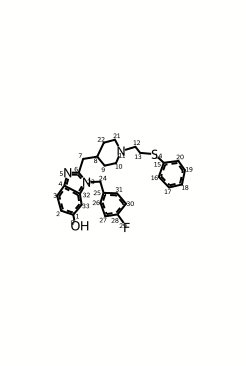 Oc1ccc2nc(CC3CCN(CCSc4ccccc4)CC3)n(Cc3ccc(F)cc3)c2c1